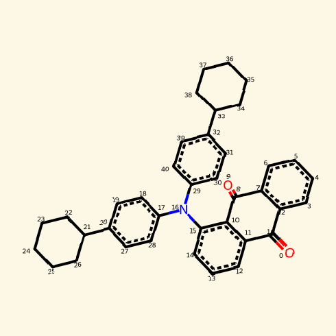 O=C1c2ccccc2C(=O)c2c1cccc2N(c1ccc(C2CCCCC2)cc1)c1ccc(C2CCCCC2)cc1